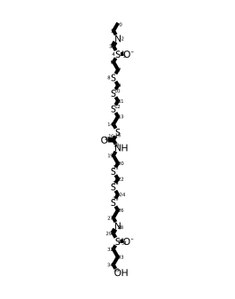 CC/N=C/[S+]([O-])CCSCSCSCCSC(=O)NCCSCSCSCC/N=C/[S+]([O-])CCCO